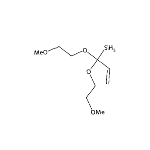 C=CC([SiH3])(OCCOC)OCCOC